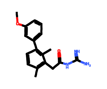 COc1cccc(-c2ccc(C)c(CC(=O)NC(=N)N)c2C)c1